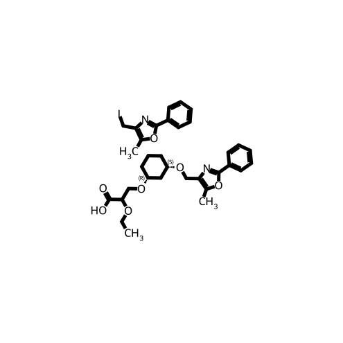 CCOC(CO[C@@H]1CCC[C@H](OCc2nc(-c3ccccc3)oc2C)C1)C(=O)O.Cc1oc(-c2ccccc2)nc1CI